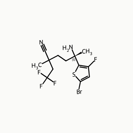 CC(C#N)(CC[C@](C)(N)c1sc(Br)cc1F)CC(F)(F)F